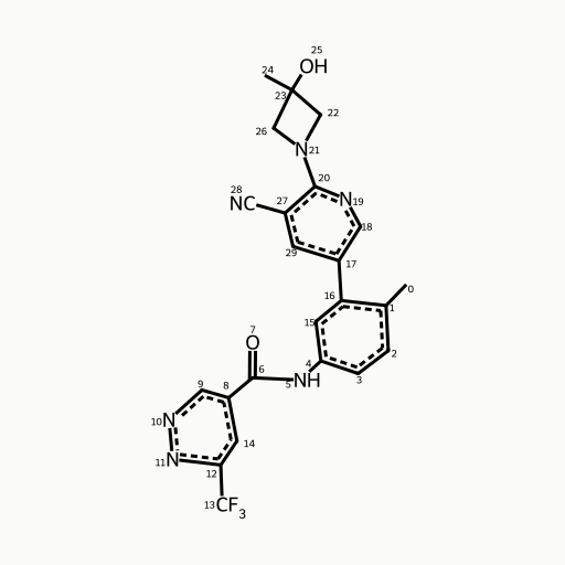 Cc1ccc(NC(=O)c2cnnc(C(F)(F)F)c2)cc1-c1cnc(N2CC(C)(O)C2)c(C#N)c1